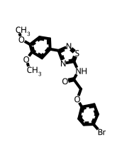 COc1ccc(-c2nsc(NC(=O)COc3ccc(Br)cc3)n2)cc1OC